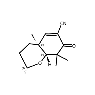 C[C@@H]1CC[C@@]2(C)C=C(C#N)C(=O)C(C)(C)[C@@H]2O1